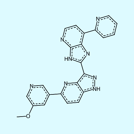 COc1cncc(-c2ccc3[nH]nc(-c4nc5c(-c6ccccn6)ccnc5[nH]4)c3n2)c1